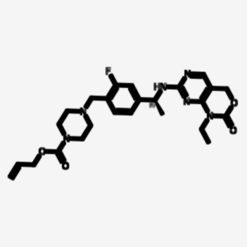 C=CCOC(=O)N1CCN(Cc2ccc([C@H](C)Nc3ncc4c(n3)N(CC)C(=O)OC4)cc2F)CC1